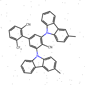 Cc1ccc2c(c1)c1ccccc1n2-c1cc(-c2c(C#N)cccc2C(F)(F)F)cc(-n2c3ccccc3c3cc(C)ccc32)c1C#N